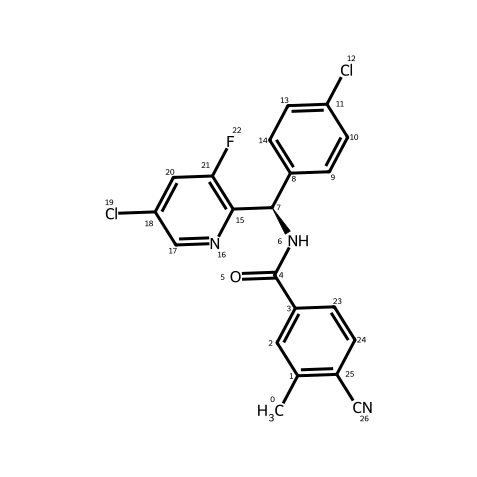 Cc1cc(C(=O)N[C@H](c2ccc(Cl)cc2)c2ncc(Cl)cc2F)ccc1C#N